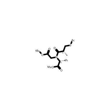 COC(=O)[C@@H](C(C)C)N(CC(=O)OC(C)(C)C)C(=O)[C@@H](C)CSC(C)=O